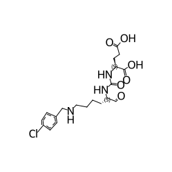 O=C[C@H](CCCCNCc1ccc(Cl)cc1)NC(=O)N[C@@H](CCC(=O)O)C(=O)O